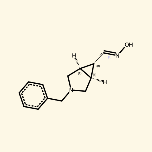 O/N=C/[C@@H]1[C@H]2CN(Cc3ccccc3)C[C@@H]12